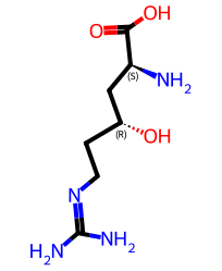 NC(N)=NCC[C@@H](O)C[C@H](N)C(=O)O